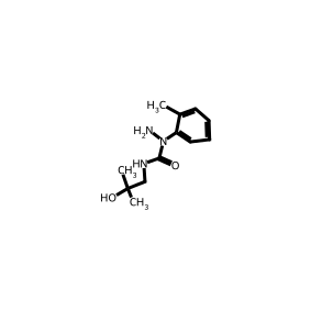 Cc1ccccc1N(N)C(=O)NCC(C)(C)O